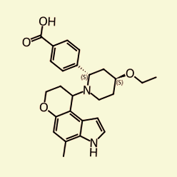 CCO[C@H]1CCN(C2CCOc3cc(C)c4[nH]ccc4c32)[C@H](c2ccc(C(=O)O)cc2)C1